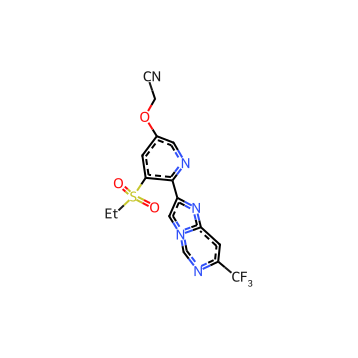 CCS(=O)(=O)c1cc(OCC#N)cnc1-c1cn2cnc(C(F)(F)F)cc2n1